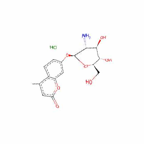 Cc1cc(=O)oc2cc(O[C@@H]3O[C@H](CO)[C@@H](O)[C@H](O)[C@H]3N)ccc12.Cl